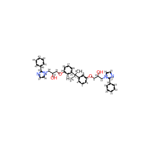 CC(C)(c1cccc(OCC(O)Cn2ccnc2-c2ccccc2)c1)c1cccc(OCC(O)Cn2ccnc2-c2ccccc2)c1